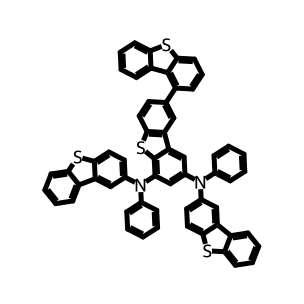 c1ccc(N(c2ccc3sc4ccccc4c3c2)c2cc(N(c3ccccc3)c3ccc4sc5ccccc5c4c3)c3sc4ccc(-c5cccc6sc7ccccc7c56)cc4c3c2)cc1